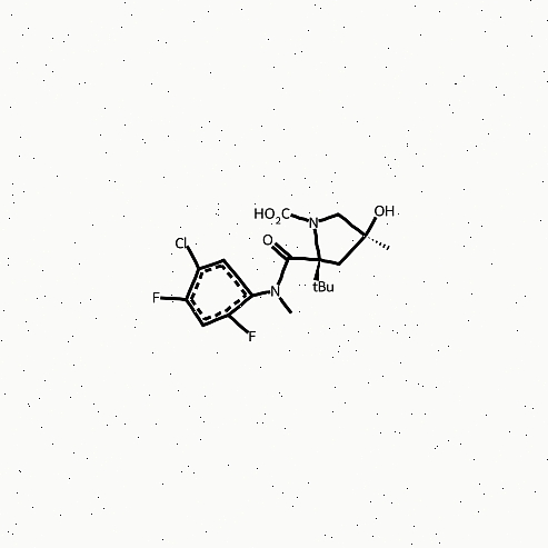 CN(C(=O)[C@@]1(C(C)(C)C)C[C@](C)(O)CN1C(=O)O)c1cc(Cl)c(F)cc1F